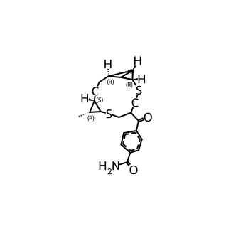 C[C@H]1C2SCC(C(=O)c3ccc(C(N)=O)cc3)CS[C@@H]3C4[C@@H]3[C@@H]4CC[C@H]21